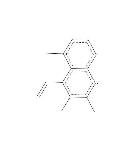 C=Cc1c(C)c(C)[c]c2cccc(C)c12